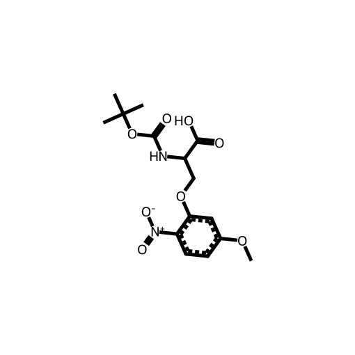 COc1ccc([N+](=O)[O-])c(OCC(NC(=O)OC(C)(C)C)C(=O)O)c1